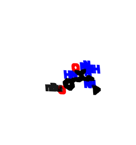 CCCCOc1ccc(-c2cc(-c3ccn(C4CC4)n3)c(-c3nn[nH]n3)c(=O)[nH]2)cc1